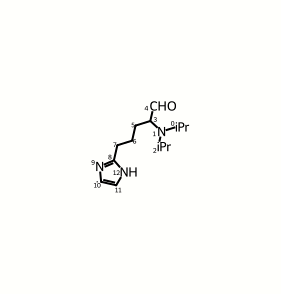 CC(C)N(C(C)C)C(C=O)CCCc1n[c]c[nH]1